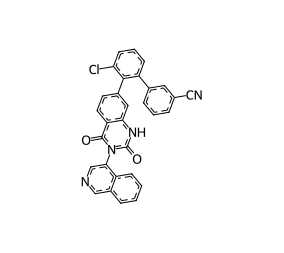 N#Cc1cccc(-c2cccc(Cl)c2-c2ccc3c(=O)n(-c4cncc5ccccc45)c(=O)[nH]c3c2)c1